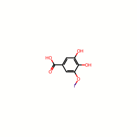 O=C(O)c1cc(O)c(O)c(OI)c1